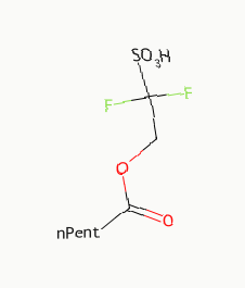 CCCCCC(=O)OCC(F)(F)S(=O)(=O)O